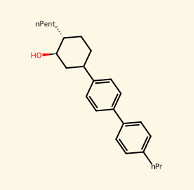 CCCCC[C@@H]1CCC(c2ccc(-c3ccc(CCC)cc3)cc2)C[C@H]1O